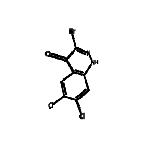 O=c1c(Br)n[nH]c2cc(Cl)c(Cl)cc12